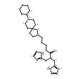 O=C(CCCCN1CCC2(CCN(C3CCCCC3)CC2)C1)C(Cc1ncc[nH]1)Cc1ncc[nH]1